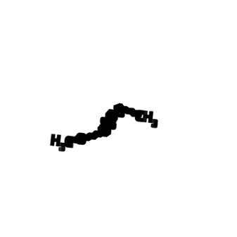 CCCCCCc1ccc(-c2ccc3c(c2)sc2c4ccc(CCCCCCOCCCC)cc4sc32)s1